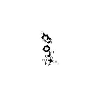 CC(C)(C)OC(=O)N[C@@H]1CCC[C@H](c2nnc3cc(Cl)cnn23)C1